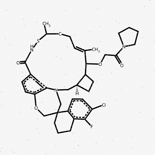 C/C1=C\CCC(C)SNC(=O)c2ccc3c(c2)N(C[C@@H]2CCC2C1OCC(=O)N1CCCC1)CC1(CCCc2c1ccc(Cl)c2F)CO3